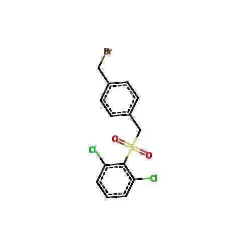 O=S(=O)(Cc1ccc(CBr)cc1)c1c(Cl)cccc1Cl